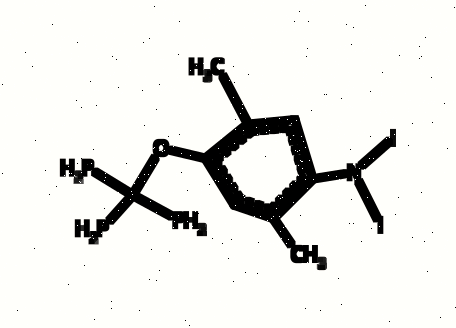 Cc1cc(N(I)I)c(C)cc1OC(P)(P)P